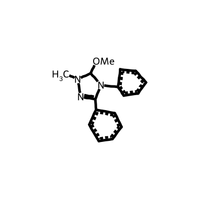 COC1N(C)N=C(c2ccccc2)N1c1ccccc1